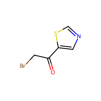 O=C(CBr)c1cncs1